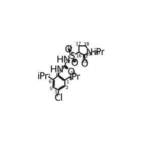 CC(C)c1cc(Cl)cc(C(C)C)c1NC(=O)NS(=O)(=O)C1CCN(C(C)C)C1=O